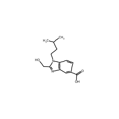 CC(C)CCn1c(CO)nc2cc(C(=O)O)ccc21